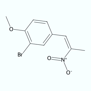 COc1ccc(C=C(C)[N+](=O)[O-])cc1Br